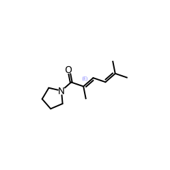 CC(C)=C/C=C(\C)C(=O)N1CCCC1